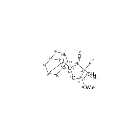 COC(C)OCC12CC3CC(C1)C(OC(=O)C(C)(F)F)C(C3)C2